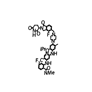 CNC(=O)c1ccccc1Nc1cc(Nc2cc(C)c(N3CCN(Cc4ccc5c(c4F)CN(C4CCC(=O)NC4=O)C5=O)CC3)cc2OC(C)C)ncc1C(F)(F)F